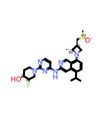 CC(C)c1ccc(N2C[C@H](C[S@@+](C)[O-])[C@H]2C)c2cnc(Nc3ccnc(N4CC[C@H](O)[C@H](F)C4)n3)cc12